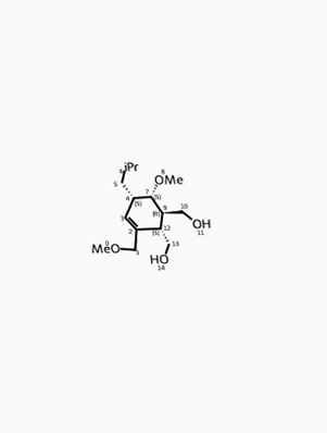 COCC1=C[C@H](CC(C)C)[C@H](OC)[C@@H](CO)[C@@H]1CO